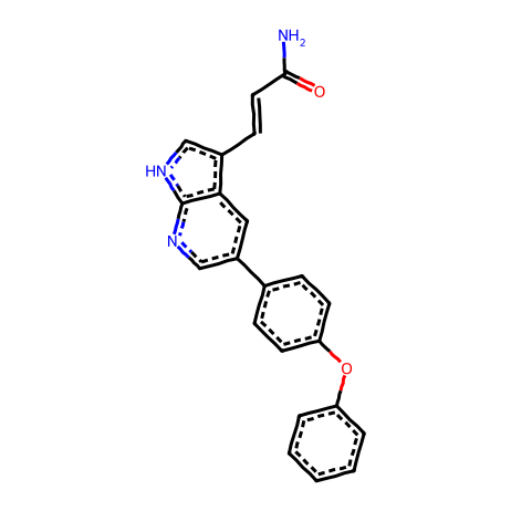 NC(=O)C=Cc1c[nH]c2ncc(-c3ccc(Oc4ccccc4)cc3)cc12